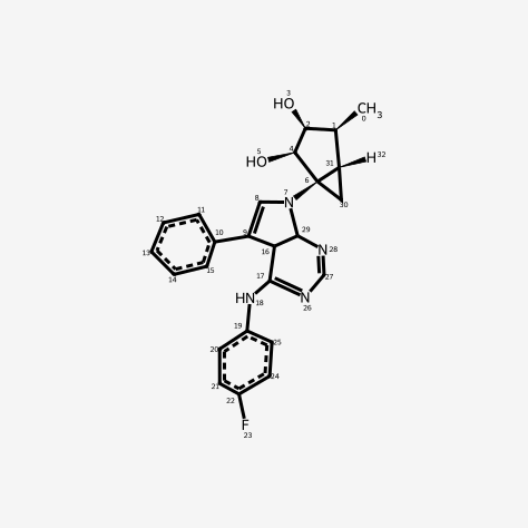 C[C@@H]1[C@H](O)[C@H](O)[C@@]2(N3C=C(c4ccccc4)C4C(Nc5ccc(F)cc5)=NC=NC43)C[C@@H]12